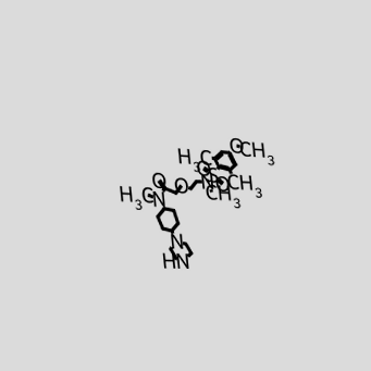 COc1cc(C)c(S(=O)(=O)N(C)CCOCC(=O)N(C)C2CCC(N3CCNCC3)CC2)c(C)c1